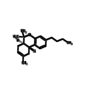 CCCCc1ccc2c(c1)OC(C)(C)[C@@H]1CC=C(C)C[C@@H]21